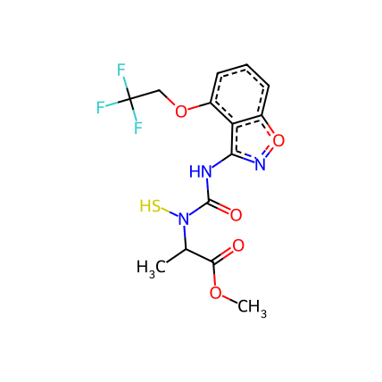 COC(=O)C(C)N(S)C(=O)Nc1noc2cccc(OCC(F)(F)F)c12